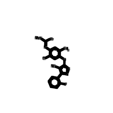 CNC(=Nc1cc(C)c(Oc2snc(-c3ccccc3F)c2C#N)cc1Cl)C(C)C